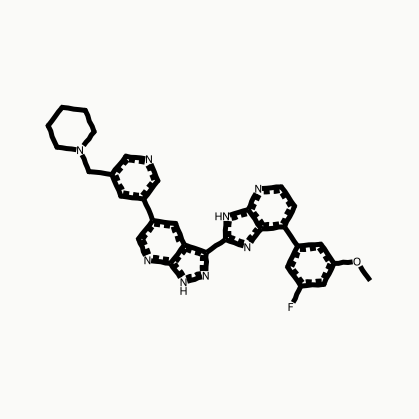 COc1cc(F)cc(-c2ccnc3[nH]c(-c4n[nH]c5ncc(-c6cncc(CN7CCCCC7)c6)cc45)nc23)c1